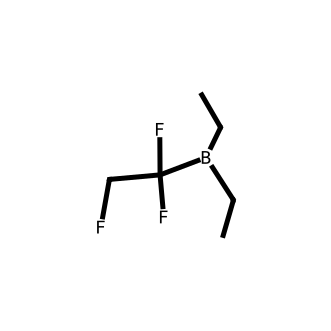 CCB(CC)C(F)(F)CF